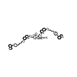 CCCCCC(COc1ccc2ccc(OCCCCN3CCN(c4cccc5sccc45)CC3)cc2n1)OC(=O)OC(CCCCC)COc1ccc2ccc(OCCCCN3CCN(c4cccc5sccc45)CC3)cc2n1